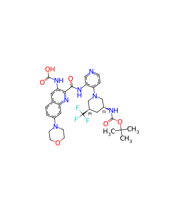 CC(C)(C)OC(=O)N[C@H]1C[C@@H](C(F)(F)F)CN(c2ccncc2NC(=O)c2nc3cc(N4CCOCC4)ccc3cc2NC(=O)O)C1